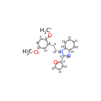 COc1ccc(OC)c(CCn2c(-c3ccco3)nc3ccccc32)c1